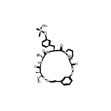 CCO[C@@H]1CC/C=C/c2cccc(c2)COC(=O)[C@@H]2CCCN(N2)C(=O)[C@H](Cc2cccc(O[Si](C)(C)C(C)(C)C)c2)NC(=O)[C@H](C(C)C)NC(=O)[C@@H]1C